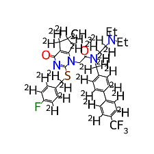 [2H]c1c([2H])c(C([2H])([2H])Sc2nc(=O)c3c(n2CC(=O)N(C([2H])([2H])c2c([2H])c([2H])c(-c4c([2H])c([2H])c(C(F)(F)F)c([2H])c4[2H])c([2H])c2[2H])C([2H])([2H])C([2H])([2H])N(CC)CC)C([2H])([2H])C([2H])(C)C3([2H])[2H])c([2H])c([2H])c1F